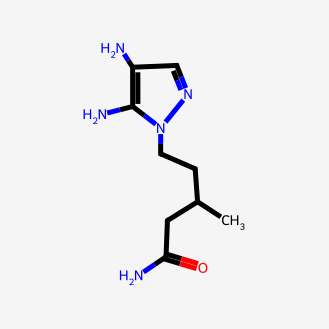 CC(CCn1ncc(N)c1N)CC(N)=O